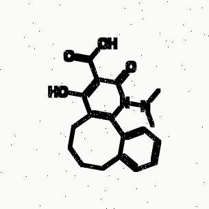 CN(C)n1c2c(c(O)c(C(=O)O)c1=O)CCCCc1ccccc1-2